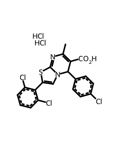 CC1=C(C(=O)O)C(c2ccc(Cl)cc2)N2C=C(c3c(Cl)cccc3Cl)SC2=N1.Cl.Cl